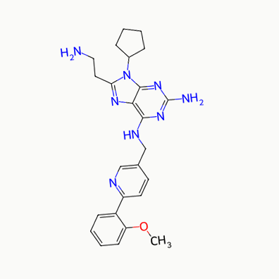 COc1ccccc1-c1ccc(CNc2nc(N)nc3c2nc(CCN)n3C2CCCC2)cn1